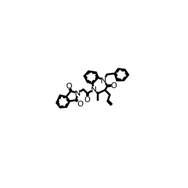 C=CCC1C(=O)N(Cc2ccccc2)c2ccccc2N(C(=O)CN2C(=O)c3ccccc3C2=O)C1C